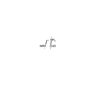 CNC.NC=O